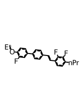 CCCc1ccc(/C=C/c2ccc(-c3ccc(OCC)c(F)c3)cc2)c(F)c1F